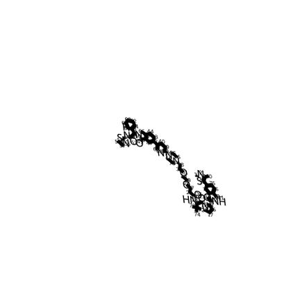 Cc1ncsc1-c1ccc([C@H](C)NC(=O)[C@@H]2CCCN2C(=O)C(NC(=O)CCOCCOCCN2CCN(c3ccc(-c4ccc5c(c4)C(=O)N(C(C(=O)Nc4nccs4)c4ccccc4)C5)cn3)CC2)C(C)(C)C)cc1